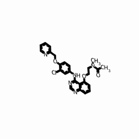 CC(=O)N(C)CCOc1cccc2ncnc(Nc3ccc(OCc4ccccn4)c(Cl)c3)c12